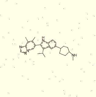 CNC1CCC(c2ccc3[nH]c(-c4cn5ncnc5c(C)c4C)c(C(C)C)c3c2)CC1